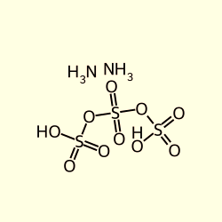 N.N.O=S(=O)(O)OS(=O)(=O)OS(=O)(=O)O